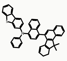 CC1(C)C2=C(C=CCC2)c2c(-c3ccc(N(c4ccccc4)c4ccc5c(c4)sc4ccccc45)c4ccccc34)cc3ccccc3c21